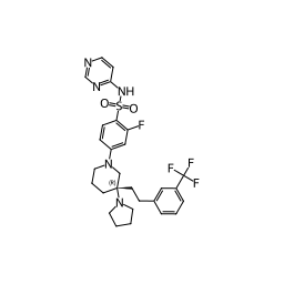 O=S(=O)(Nc1ccncn1)c1ccc(N2CCC[C@@](CCc3cccc(C(F)(F)F)c3)(N3CCCC3)C2)cc1F